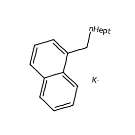 CCCCCCCCc1cccc2ccccc12.[K]